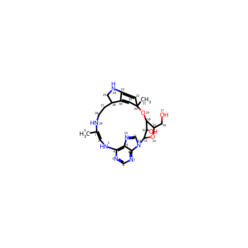 C/C1=C/Nc2ncnc3c2ncn3C2OC(CO)C(OC3(C)C=C4NCC(CCN1)C4=C3)C2O